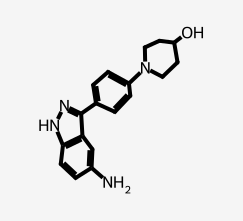 Nc1ccc2[nH]nc(-c3ccc(N4CCC(O)CC4)cc3)c2c1